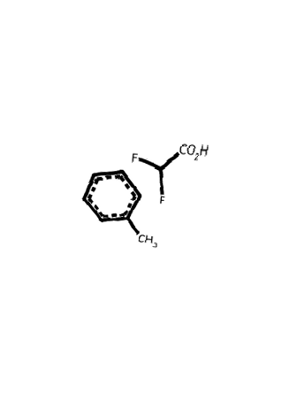 Cc1ccccc1.O=C(O)C(F)F